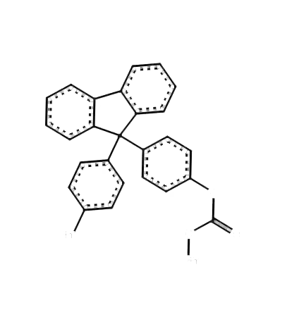 CC(C)OC(=O)Oc1ccc(C2(c3ccc(C(C)C)cc3)c3ccccc3-c3ccccc32)cc1